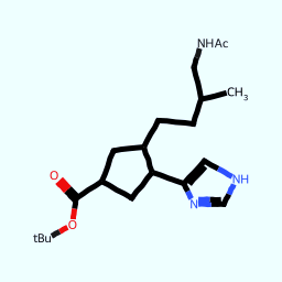 CC(=O)NCC(C)CCC1CC(C(=O)OC(C)(C)C)CC1c1c[nH]cn1